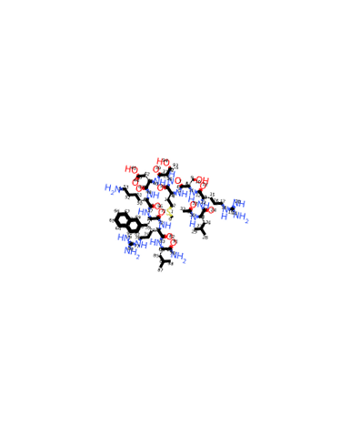 CSCC[C@H](NC(=O)[C@H](CO)NC(=O)[C@H](CCCNC(=N)N)NC(=O)[C@H](CC(C)C)NC(C)=O)C(=O)N[C@H](C(=O)N[C@@H](CC(=O)O)C(=O)N[C@@H](CCCCN)C(=O)N[C@@H](Cc1ccc2ccccc2c1)C(=O)N[C@@H](CCCNC(=N)N)C(=O)N[C@@H](CC(C)C)C(N)=O)[C@@H](C)O